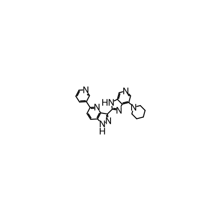 c1cncc(-c2ccc3[nH]nc(-c4nc5c(N6CCCCC6)cncc5[nH]4)c3n2)c1